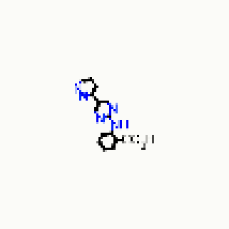 O=C(O)c1ccccc1Nc1ncc(-c2cccnn2)cn1